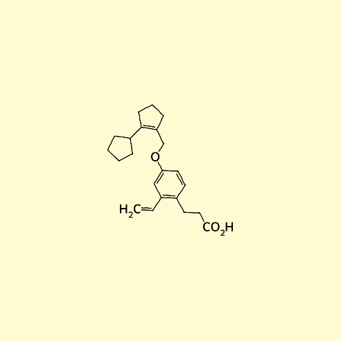 C=Cc1cc(OCC2=C(C3CCCC3)CCC2)ccc1CCC(=O)O